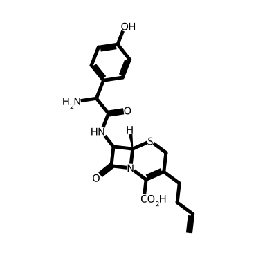 C=CCCC1=C(C(=O)O)N2C(=O)C(NC(=O)C(N)c3ccc(O)cc3)[C@@H]2SC1